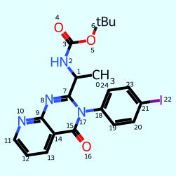 CC(NC(=O)OC(C)(C)C)c1nc2ncccc2c(=O)n1-c1ccc(I)cc1